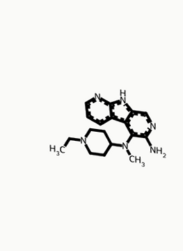 CCN1CCC(N(C)c2c(N)ncc3[nH]c4ncccc4c23)CC1